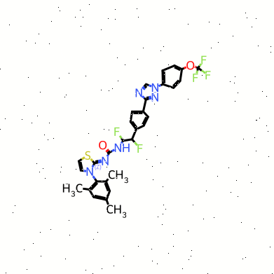 Cc1cc(C)c(-n2ccs/c2=N\C(=O)NC(F)C(F)c2ccc(-c3ncn(-c4ccc(OC(F)(F)F)cc4)n3)cc2)c(C)c1